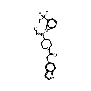 O=NN(C1CCN(C(=O)Cc2ccc3sccc3c2)CC1)N1c2cccc(C(F)(F)F)c21